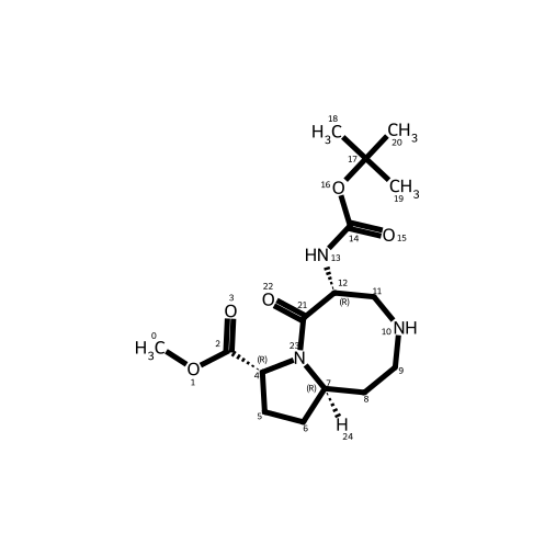 COC(=O)[C@H]1CC[C@@H]2CCNC[C@@H](NC(=O)OC(C)(C)C)C(=O)N21